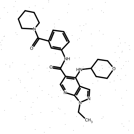 CCn1ncc2c(NC3CCOCC3)c(C(=O)Nc3cccc(C(=O)N4CCCCC4)c3)cnc21